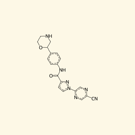 N#Cc1cnc(-n2ccc(C(=O)Nc3ccc(C4CNCCO4)cc3)n2)cn1